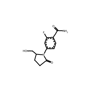 NC(=O)c1ccc(N2C(=O)CCC2CO)cc1F